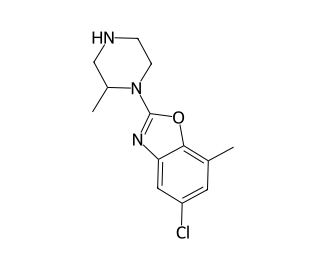 Cc1cc(Cl)cc2nc(N3CCNCC3C)oc12